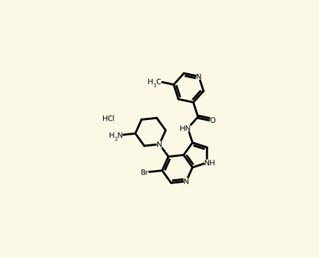 Cc1cncc(C(=O)Nc2c[nH]c3ncc(Br)c(N4CCCC(N)C4)c23)c1.Cl